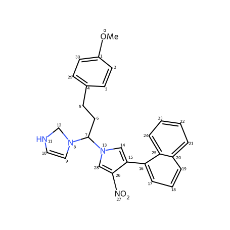 COc1ccc(CCC(N2C=CNC2)n2cc(-c3cccc4ccccc34)c([N+](=O)[O-])c2)cc1